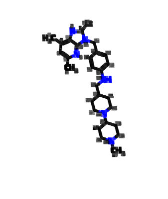 CCc1nc2c(C)cc(C)nc2n1Cc1ccc(NCC2CCN(C3CCN(C)CC3)CC2)cc1